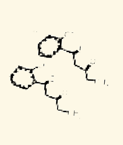 CCC(=O)CC(=O)c1ccccc1[O-].CCC(=O)CC(=O)c1ccccc1[O-].[Cu+2]